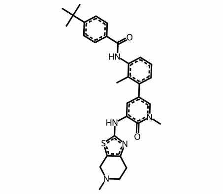 Cc1c(NC(=O)c2ccc(C(C)(C)C)cc2)cccc1-c1cc(Nc2nc3c(s2)CN(C)CC3)c(=O)n(C)c1